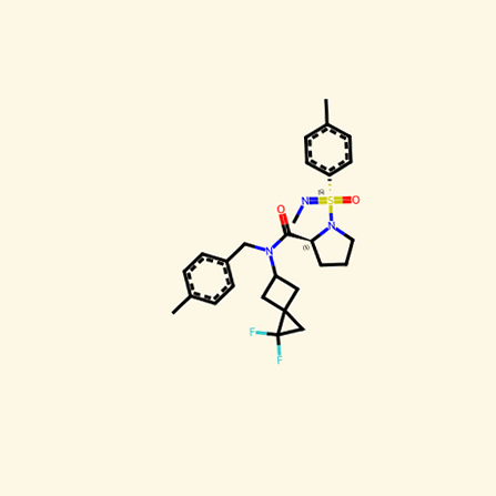 CN=[S@](=O)(c1ccc(C)cc1)N1CCC[C@H]1C(=O)N(Cc1ccc(C)cc1)C1CC2(C1)CC2(F)F